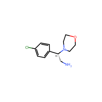 NC[C@H](c1ccc(Cl)cc1)N1CCOCC1